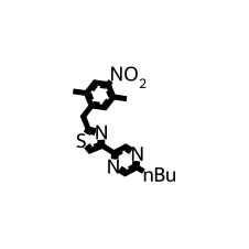 CCCCc1cnc(-c2csc(Cc3cc(C)c([N+](=O)[O-])cc3C)n2)cn1